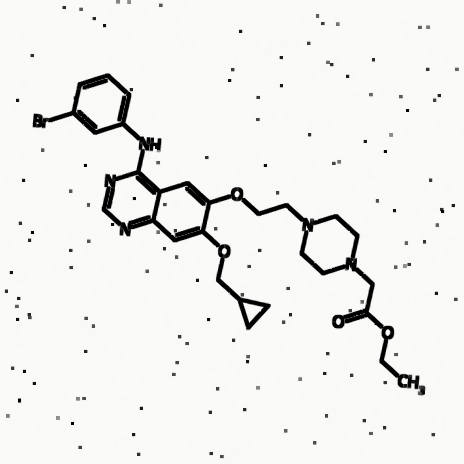 CCOC(=O)CN1CCN(CCOc2cc3c(Nc4cccc(Br)c4)ncnc3cc2OCC2CC2)CC1